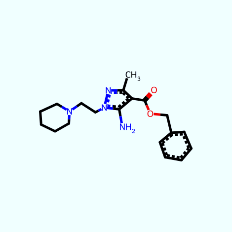 Cc1nn(CCN2CCCCC2)c(N)c1C(=O)OCc1ccccc1